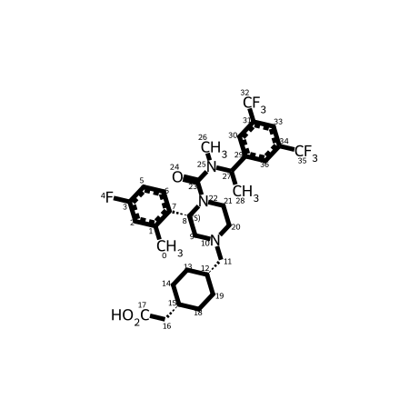 Cc1cc(F)ccc1[C@H]1CN(C[C@H]2CC[C@@H](CC(=O)O)CC2)CCN1C(=O)N(C)C(C)c1cc(C(F)(F)F)cc(C(F)(F)F)c1